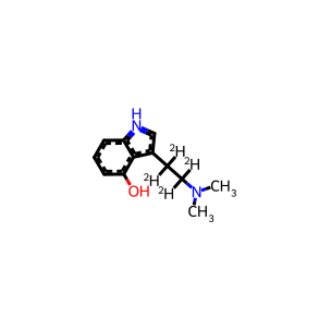 [2H]C([2H])(c1c[nH]c2cccc(O)c12)C([2H])([2H])N(C)C